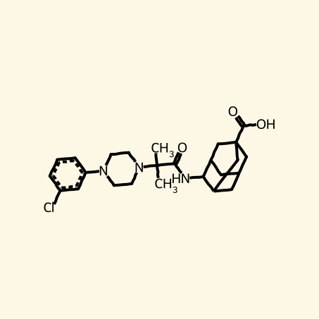 CC(C)(C(=O)NC1C2CC3CC1CC(C(=O)O)(C3)C2)N1CCN(c2cccc(Cl)c2)CC1